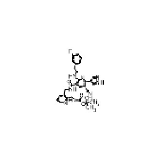 CC(C)(C)OC(=O)NCc1ncccc1CNC(=O)c1cc(C#N)c(-c2cn[nH]c2)nc1NCCc1cccc(F)c1